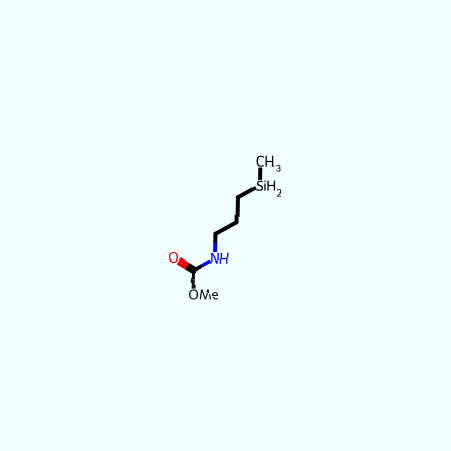 COC(=O)NCCC[SiH2]C